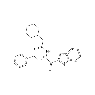 O=C(CC1CCCCC1)N[C@@H](CCc1ccccc1)C(=O)c1nc2ccccc2o1